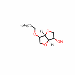 CCCCCCCCO[C@@H]1CO[C@H]2[C@@H]1OC[C@H]2O